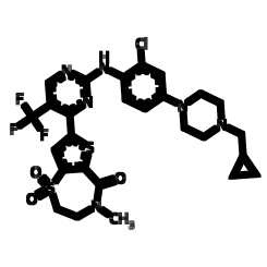 CN1CCS(=O)(=O)c2cc(-c3nc(Nc4ccc(N5CCN(CC6CC6)CC5)cc4Cl)ncc3C(F)(F)F)sc2C1=O